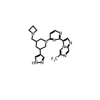 FC(F)(F)c1cn2c(-c3nccc(N4CC(CN5CCC5)CC(c5cn[nH]c5)C4)n3)cnc2cn1